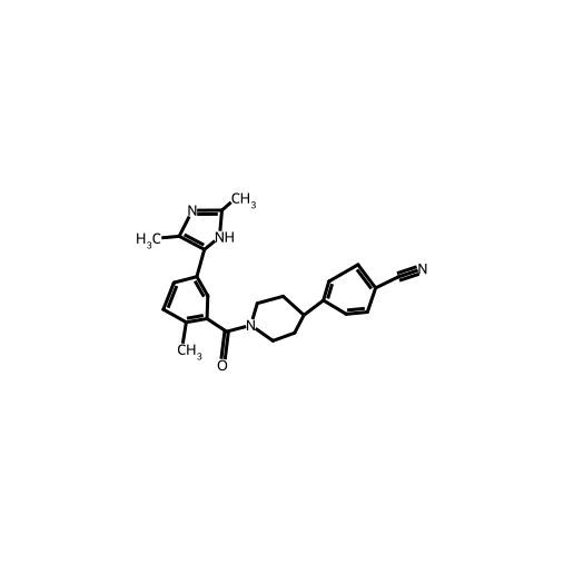 Cc1nc(C)c(-c2ccc(C)c(C(=O)N3CCC(c4ccc(C#N)cc4)CC3)c2)[nH]1